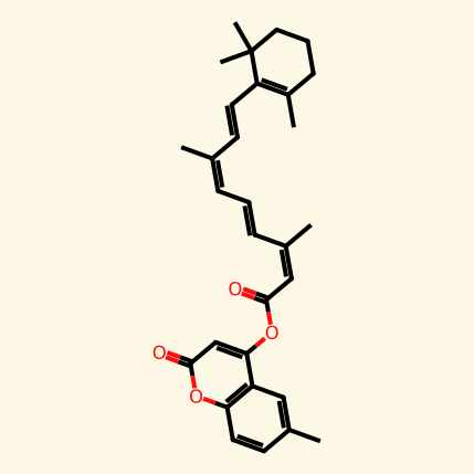 CC(C=CC1=C(C)CCCC1(C)C)=CC=CC(C)=CC(=O)Oc1cc(=O)oc2ccc(C)cc12